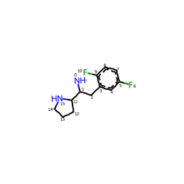 [NH]C(Cc1cc(F)ccc1F)C1CCCN1